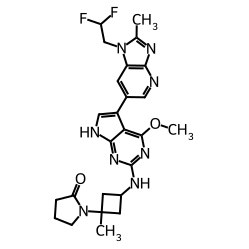 COc1nc(NC2CC(C)(N3CCCC3=O)C2)nc2[nH]cc(-c3cnc4nc(C)n(CC(F)F)c4c3)c12